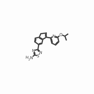 CC(C)Oc1cccc(C2=CCc3ccc(-c4nsc(N)n4)cc32)n1